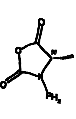 C[C@H]1C(=O)OC(=O)N1P